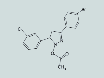 CC(=O)ON1N=C(c2ccc(Br)cc2)CC1c1cccc(Cl)c1